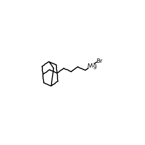 [Br][Mg][CH2]CCCC12CC3CC(CC(C3)C1)C2